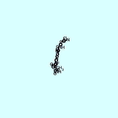 C=C(C(=O)c1cc(F)c(N2CCC(N3CC4CN(c5ccc(C(=O)N[C@H]6CC[C@H](Oc7ccc(C#N)c(Cl)c7)CC6)nn5)CC4C3)CC2)cc1C(C)=O)C1CCC(=O)NC1=O